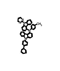 Cc1ccc(N(c2cccc3c2c2ccccc2n3-c2ccc(-c3ccccc3)cc2)c2cccc3c2c2ccccc2n3-c2ncccn2)cc1